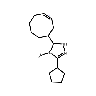 NN1C(C2CCCC2)=NNC1C1C/C=C\CCCC1